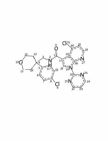 O=C(NCC1(c2ccc(Cl)cc2)CCOCC1)c1cn(-c2ncccn2)c2nccc(Cl)c12